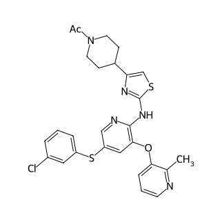 CC(=O)N1CCC(c2csc(Nc3ncc(Sc4cccc(Cl)c4)cc3Oc3cccnc3C)n2)CC1